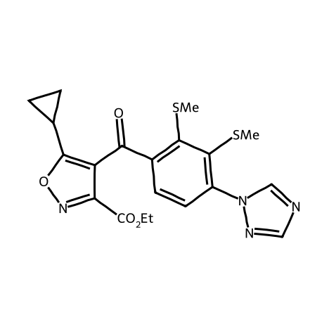 CCOC(=O)c1noc(C2CC2)c1C(=O)c1ccc(-n2cncn2)c(SC)c1SC